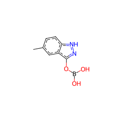 Cc1ccc2[nH]nc(OB(O)O)c2c1